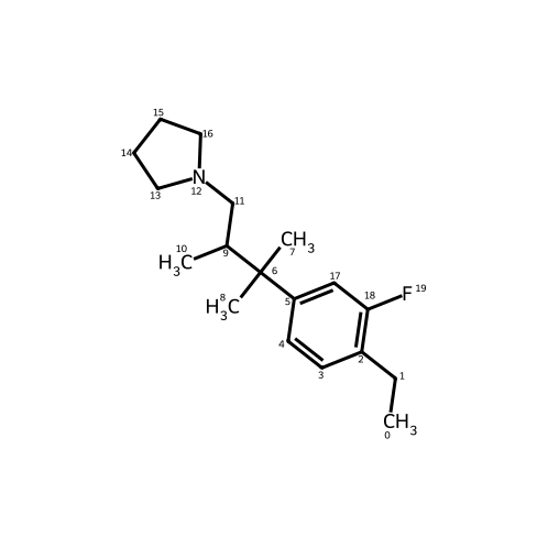 CCc1ccc(C(C)(C)C(C)CN2CCCC2)cc1F